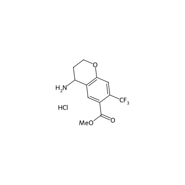 COC(=O)c1cc2c(cc1C(F)(F)F)OCCC2N.Cl